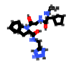 O=C(O)N[C@H](C(=O)NCC(=O)N1c2ccccc2CC1C(=O)NCc1nn[nH]n1)C1CCCC1